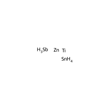 [SbH3].[SnH4].[Ti].[Zn]